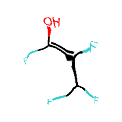 OC(F)=C(F)C(F)F